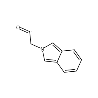 O=[C]Cn1cc2ccccc2c1